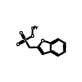 CCCOS(=O)(=O)Cc1cc2ccccc2o1